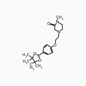 CN1CCN(CCOc2ccc(B3OC(C)(C)C(C)(C)O3)cc2)CC1=O